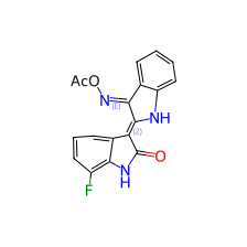 CC(=O)O/N=C1/C(=C2/C(=O)Nc3c(F)cccc32)Nc2ccccc21